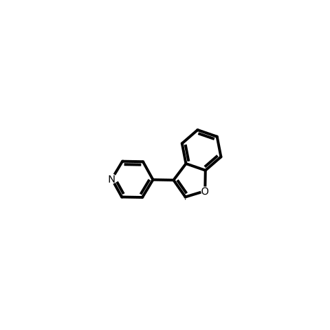 [c]1oc2ccccc2c1-c1ccncc1